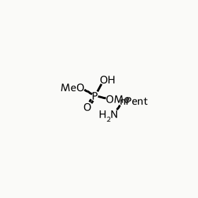 CCCCCN.COP(=O)(O)OC